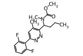 CCCC(c1nnc(-c2c(F)cccc2F)cc1C)N(C)C(=O)OC